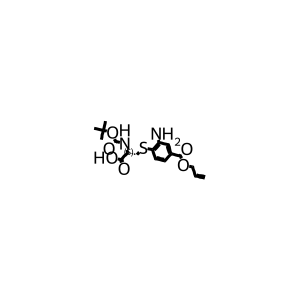 C=CCOC(=O)c1ccc(SC[C@@H](NC(=O)OC(C)(C)C)C(=O)O)c(N)c1